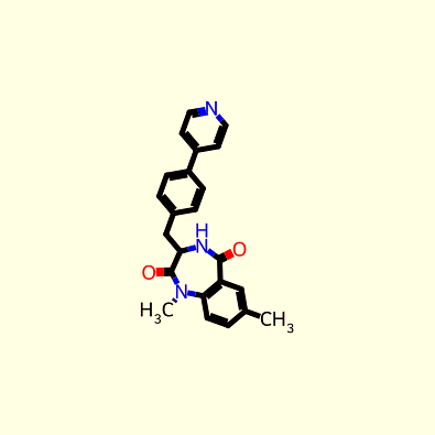 Cc1ccc2c(c1)C(=O)NC(Cc1ccc(-c3ccncc3)cc1)C(=O)N2C